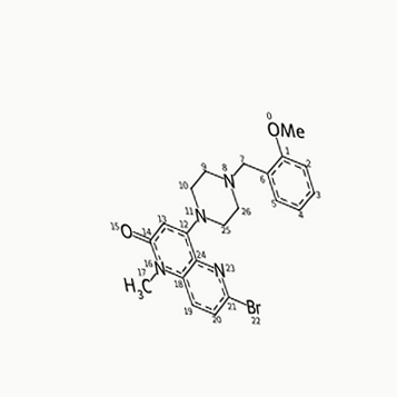 COc1ccccc1CN1CCN(c2cc(=O)n(C)c3ccc(Br)nc23)CC1